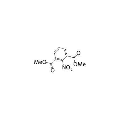 COC(=O)c1cccc(C(=O)OC)c1[N+](=O)[O-]